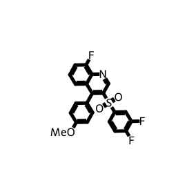 COc1ccc(-c2c(S(=O)(=O)c3ccc(F)c(F)c3)cnc3c(F)cccc23)cc1